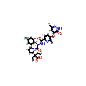 CCC(CC)(C(=O)O)[C@H]1CC[C@@H](c2cccc(F)c2)N1C(=O)[C@@H](C)NC(=O)c1ccc(Oc2cc(C)n[nH]c2=O)c(C)n1